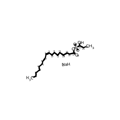 CCCCCCCC/C=C\CCCCCCCC(=O)OS(=O)(=O)C(O)CC.[NaH]